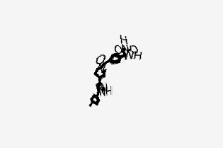 Cc1ccc(-c2cc(C3CCN(C(=O)c4ccc([C@@]5(C)NC(=O)NC5=O)cc4)CC3)n[nH]2)cc1